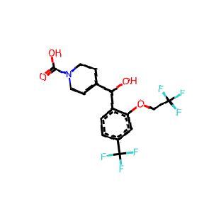 O=C(O)N1CCC(C(O)c2ccc(C(F)(F)F)cc2OCC(F)(F)F)CC1